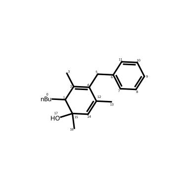 CCCCC1C(C)=C(Cc2ccccc2)C(C)=CC1(C)O